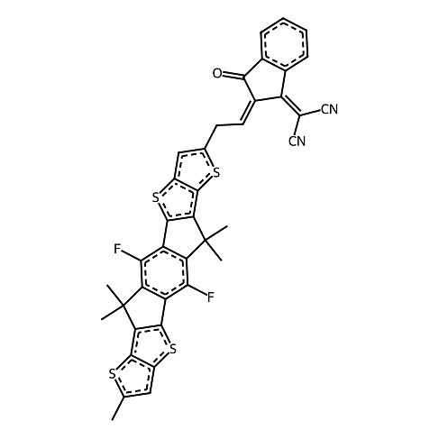 Cc1cc2sc3c(c2s1)C(C)(C)c1c(F)c2c(c(F)c1-3)C(C)(C)c1c-2sc2cc(C/C=C3\C(=O)c4ccccc4C3=C(C#N)C#N)sc12